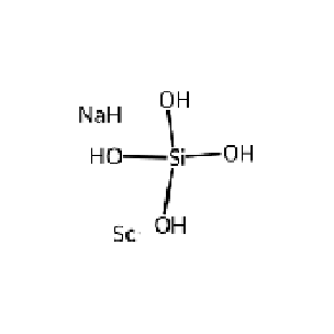 O[Si](O)(O)O.[NaH].[Sc]